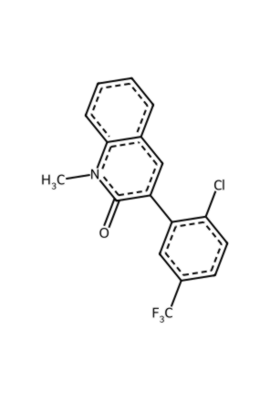 Cn1c(=O)c(-c2cc(C(F)(F)F)ccc2Cl)cc2ccccc21